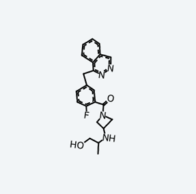 CC(CO)NC1CN(C(=O)c2cc(Cc3nncc4ccccc34)ccc2F)C1